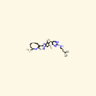 CCC(CC)CCCNc1ncc(Cc2c(C)cc3[nH]c(C4=C(C)/N=C(/C)CCC/C=C\4)nc3c2C)cn1